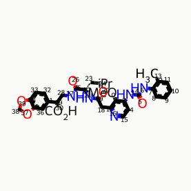 COc1c(NC(=O)Nc2ccccc2C)ccnc1CC(=O)N[C@@H](CC(C)C)C(=O)NCC(C(=O)O)c1ccc2c(c1)OCO2